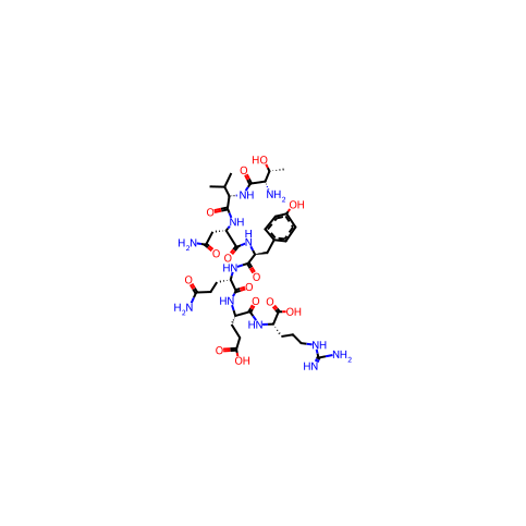 CC(C)[C@H](NC(=O)[C@@H](N)[C@@H](C)O)C(=O)N[C@@H](CC(N)=O)C(=O)N[C@@H](Cc1ccc(O)cc1)C(=O)N[C@@H](CCC(N)=O)C(=O)N[C@@H](CCC(=O)O)C(=O)N[C@@H](CCCNC(=N)N)C(=O)O